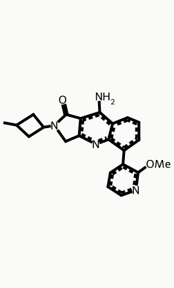 COc1ncccc1-c1cccc2c(N)c3c(nc12)CN(C1CC(C)C1)C3=O